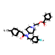 CC(C)COc1ccc(CC(=O)N(Cc2ccc(F)cc2)C2CCN(CCOC(=O)c3ccccc3)CC2)cc1